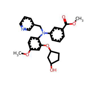 COC(=O)c1cccc(N(Cc2cccnc2)c2ccc(OC)cc2OC2CCC(O)C2)c1